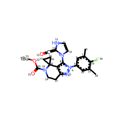 Cc1cc(-n2nc3c(c2N2C=CNC2=C=O)C2(CC2)N(C(=O)OC(C)(C)C)CC3)cc(C)c1F